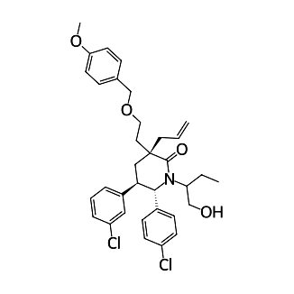 C=CC[C@]1(CCOCc2ccc(OC)cc2)C[C@H](c2cccc(Cl)c2)[C@@H](c2ccc(Cl)cc2)N(C(CC)CO)C1=O